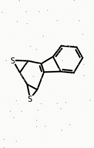 c1ccc2c(c1)C1=C2C2SC2C2SC12